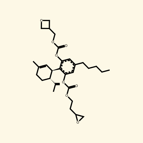 C=C(C)[C@@H]1CCC(C)=C[C@H]1c1c(OC(=O)OCCC2CO2)cc(CCCCC)cc1OC(=O)OCC1COC1